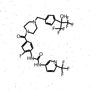 O=C(Nc1ccc(C(F)(F)F)nc1)Nc1ccc(C(=O)N2CCN(Cc3ccc(C(O)(C(F)(F)F)C(F)(F)F)cc3)CC2)cc1F